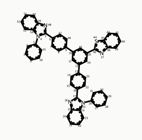 c1ccc(-n2c(-c3ccc(-c4cc(-c5ccc(-c6nc7ccccc7n6-c6ccccc6)cc5)cc(-c5nc6ccccc6s5)c4)cc3)nc3ccccc32)cc1